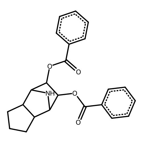 O=C(OC1C2NC(C3CCCC32)C1OC(=O)c1ccccc1)c1ccccc1